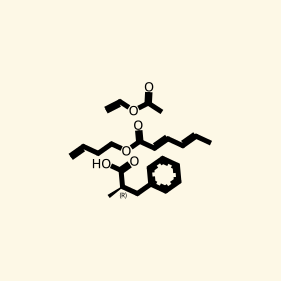 C=CCCOC(=O)C=CC=CC.C=COC(C)=O.C[C@H](Cc1ccccc1)C(=O)O